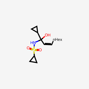 CCCCCC/C=C\C(O)(NS(=O)(=O)C1CC1)C1CC1